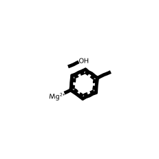 CO.Cc1cc[c]([Mg+2])cc1